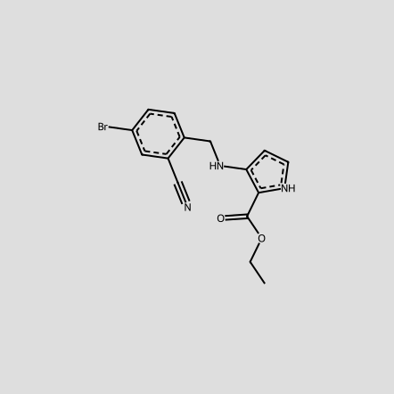 CCOC(=O)c1[nH]ccc1NCc1ccc(Br)cc1C#N